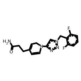 NC(=O)CCC1=CCN(c2cn(Cc3c(F)cccc3F)nn2)C=C1